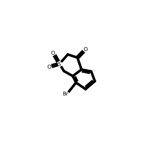 O=C1CS(=O)(=O)Cc2c(Br)cccc21